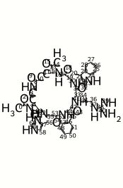 CC(=O)N[C@H]1CCNC(=O)CC[C@@H](C(C)=O)NC(=O)[C@H](Cc2c[nH]c3ccccc23)NC(=O)[C@H](CCCNC(=N)N)NC(=O)[C@@H](Cc2ccccc2)NC(=O)[C@H](Cc2c[nH]cn2)NC1=O